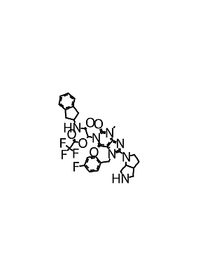 Cn1c(=O)n(C(OC(=O)C(F)(F)F)C(=O)NC2Cc3ccccc3C2)c(=O)c2c1nc(N1CCC3CNCC31)n2Cc1ccc(F)cc1